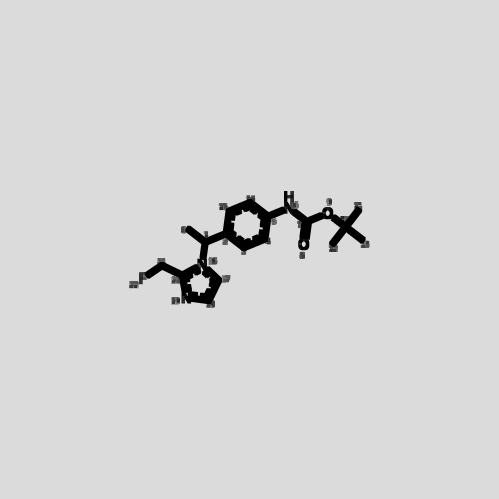 CC(c1ccc(NC(=O)OC(C)(C)C)cc1)n1ccnc1CF